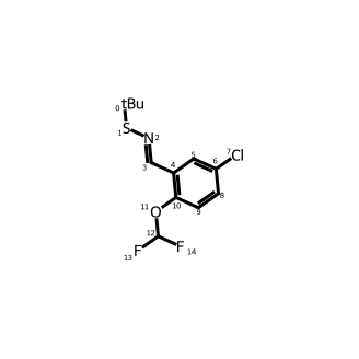 CC(C)(C)SN=Cc1cc(Cl)ccc1OC(F)F